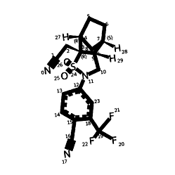 N#CC[C@@]12[C@@H]3CC[C@@H](C3)[C@@H]1CN(c1ccc(C#N)c(C(F)(F)F)c1)S2(=O)=O